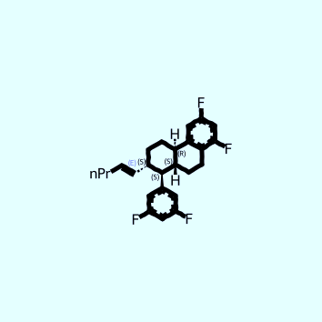 CCC/C=C/[C@@H]1CC[C@H]2c3cc(F)cc(F)c3CC[C@@H]2[C@H]1c1cc(F)cc(F)c1